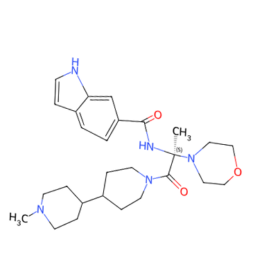 CN1CCC(C2CCN(C(=O)[C@@](C)(NC(=O)c3ccc4cc[nH]c4c3)N3CCOCC3)CC2)CC1